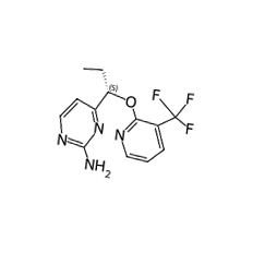 CC[C@H](Oc1ncccc1C(F)(F)F)c1ccnc(N)n1